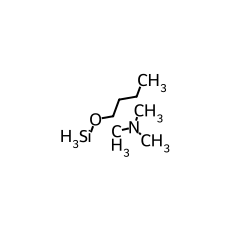 CCCCO[SiH3].CN(C)C